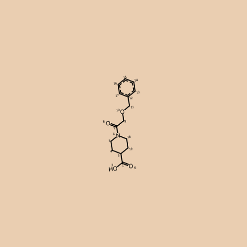 O=C(O)C1CCN(C(=O)COCc2ccccc2)CC1